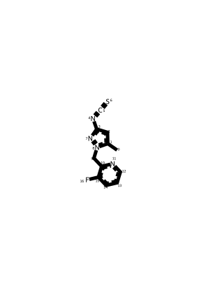 Cc1cc(N=C=S)nn1Cc1ncccc1F